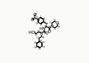 O=C(N[C@@H](Cc1ccc([N+](=O)[O-])cc1)C(=O)N1CCOCC1)N(CCO)CCc1ccccc1